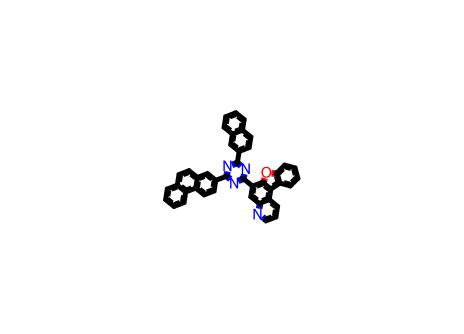 c1ccc2cc(-c3nc(-c4ccc5c(ccc6ccccc65)c4)nc(-c4cc5ncccc5c5c4oc4ccccc45)n3)ccc2c1